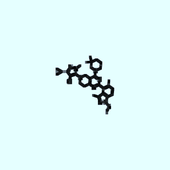 Cc1ccc2c(c(C)nn2SI)c1-c1nc2c(c(N3CCCC(C)(C)C3)n1)CN(c1c(Cl)c(C3CC3)nn1C)CC2